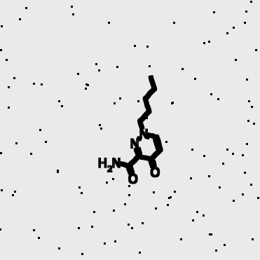 CCCCCn1ccc(=O)c(C(N)=O)n1